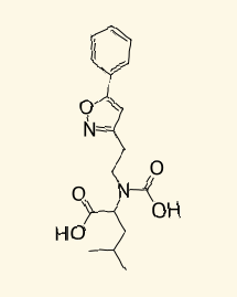 CC(C)CC(C(=O)O)N(CCc1cc(-c2ccccc2)on1)C(=O)O